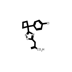 C=C(Cc1nc(C2(c3ccc(Cl)cc3)CCC2)no1)C(=O)O